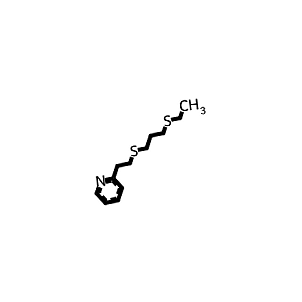 CCSCCCSCCc1ccccn1